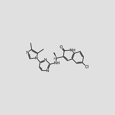 Cc1ncn(-c2ccnc(N[C@@H](C)c3cc4cc(Cl)ccc4[nH]c3=O)n2)c1C